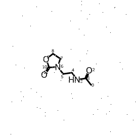 CC(=O)NCCN1CCOC1=O